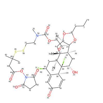 CCCC1O[C@@H]2C[C@H]3[C@@H]4C[C@H](F)C5=CC(=O)C=C[C@]5(C)[C@@]4(F)[C@@H](O)C[C@]3(C)[C@]2(C(=O)COC(=O)N(C)CCSSC(C)(C)CC(=O)ON2C(=O)CCC2=O)O1